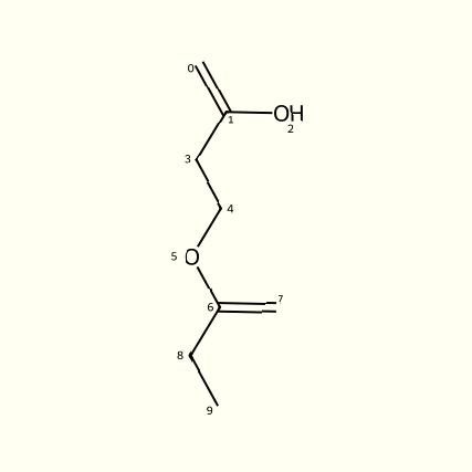 C=C(O)CCOC(=C)CC